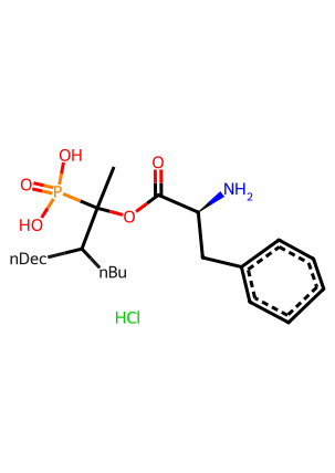 CCCCCCCCCCC(CCCC)C(C)(OC(=O)[C@@H](N)Cc1ccccc1)P(=O)(O)O.Cl